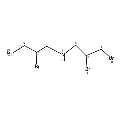 BrCC(Br)CNCC(Br)CBr